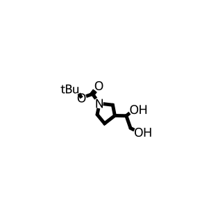 CC(C)(C)OC(=O)N1CCC(C(O)CO)C1